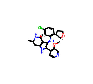 CCc1c(Cl)cccc1Nc1c(-c2ccncc2OC[C@@H]2CCCO2)[nH]c2c1C(=O)NC(C)C2